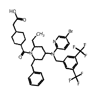 CCC1CC(N(Cc2cc(C(F)(F)F)cc(C(F)(F)F)c2)c2ccc(Br)cn2)CC(Cc2ccccc2)N1C(=O)C1CCC(CC(=O)O)CC1